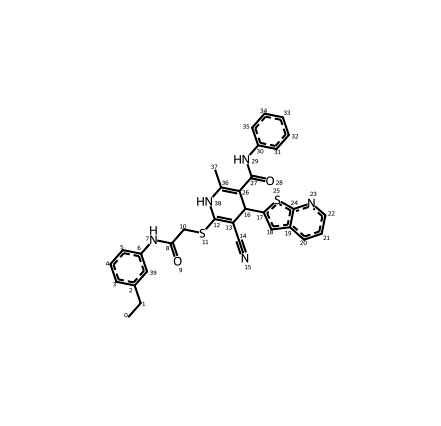 CCc1cccc(NC(=O)CSC2=C(C#N)C(c3cc4cccnc4s3)C(C(=O)Nc3ccccc3)=C(C)N2)c1